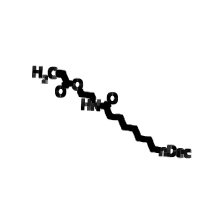 C=CC(=O)OCCNC(=O)CCCCCCCCCCCCCCCCC